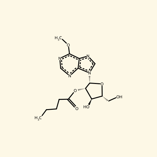 CCCCC(=O)O[C@H]1[C@H](O)[C@@H](CO)O[C@H]1n1cnc2c(OC)ncnc21